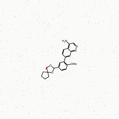 COc1ccc(B2OC3(CCCC3)C3(CCCC3)O2)cc1-c1ccc2c(N)cnnc2c1